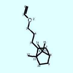 C=COCCCC1CC2CCC1(C)C2(C)C